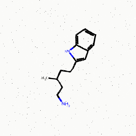 CC(CCN)CCc1cc2ccccc2[nH]1